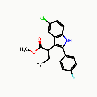 CCC(C(=O)OC)c1c(-c2ccc(F)cc2)[nH]c2ccc(Cl)cc12